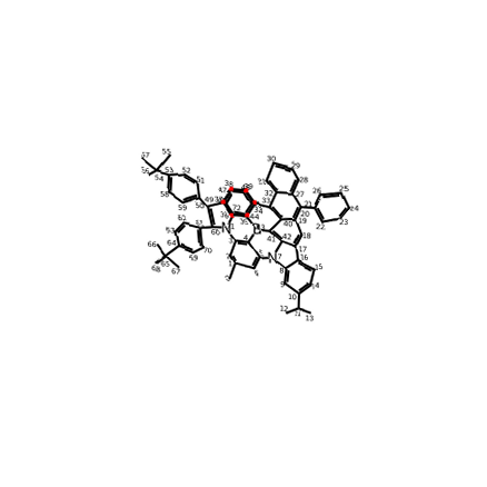 Cc1cc2c3c(c1)-n1c4cc(C(C)C)ccc4c4cc5c(-c6ccccc6)c6ccccc6c(-c6ccccc6)c5c(c41)B3c1cccc3c(-c4ccc(C(C)(C)C)cc4)c(-c4ccc(C(C)(C)C)cc4)n-2c13